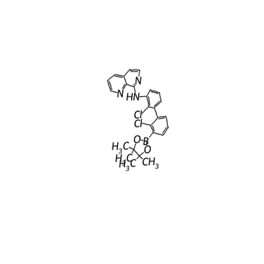 CC1(C)OB(c2cccc(-c3cccc(Nc4nccc5cccnc45)c3Cl)c2Cl)OC1(C)C